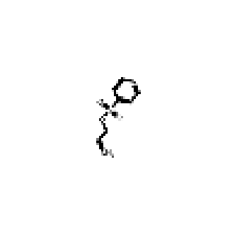 C=CCOS(=O)(=O)c1ccncc1